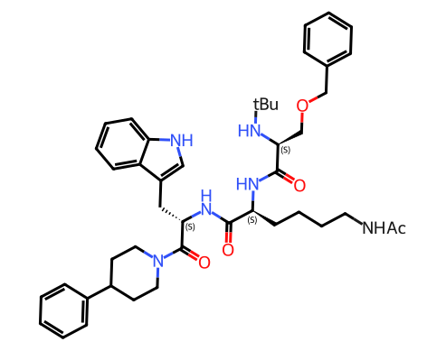 CC(=O)NCCCC[C@H](NC(=O)[C@H](COCc1ccccc1)NC(C)(C)C)C(=O)N[C@@H](Cc1c[nH]c2ccccc12)C(=O)N1CCC(c2ccccc2)CC1